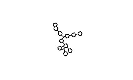 c1ccc(-c2ccc(-c3ccc(N(c4ccc(-c5ccc6ccccc6c5)cc4)c4cccc(-c5ccc(-c6ccccc6)c6c5c5ccccc5n6-c5ccccc5)c4)cc3)cc2)cc1